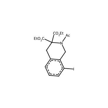 CCOC(=O)C1(C(=O)OCC)Cc2cccc(I)c2CN1C(C)=O